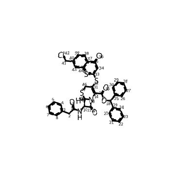 O=C(Cc1ccccc1)NC1C(=O)N2C(C(=O)OC(c3ccccc3)c3ccccc3)=C(Sc3cc(=O)c4ccc(CCl)cc4s3)CS[C@@H]12